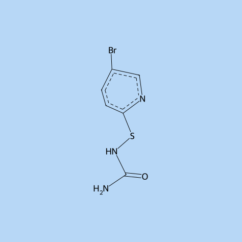 NC(=O)NSc1ccc(Br)cn1